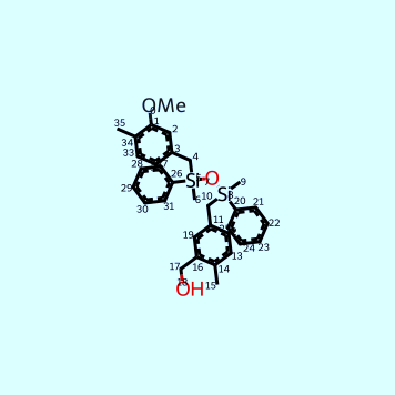 COc1cc(C[Si](C)(O[Si](C)(Cc2ccc(C)c(CO)c2)c2ccccc2)c2ccccc2)ccc1C